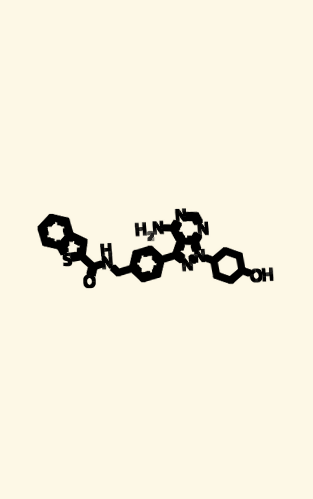 Nc1ncnc2c1c(-c1ccc(CNC(=O)c3cc4ccccc4s3)cc1)nn2C1CCC(O)CC1